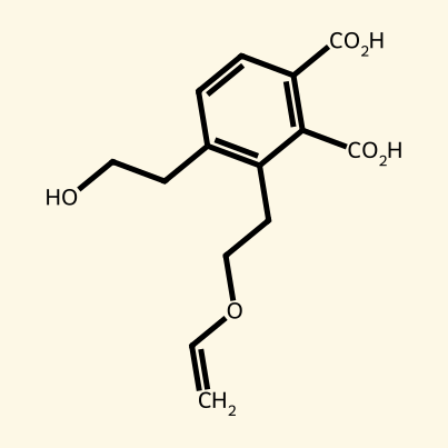 C=COCCc1c(CCO)ccc(C(=O)O)c1C(=O)O